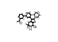 CC(=O)c1cccc(-c2cc(-c3c(N4CCOCC4)sc4c3CC(C)(C)NC4=O)ccn2)c1